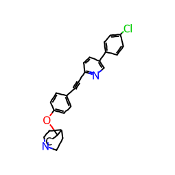 Clc1ccc(-c2ccc(C#Cc3ccc(OC4CN5CCC4CC5)cc3)nc2)cc1